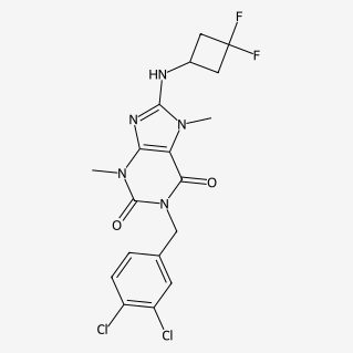 Cn1c(NC2CC(F)(F)C2)nc2c1c(=O)n(Cc1ccc(Cl)c(Cl)c1)c(=O)n2C